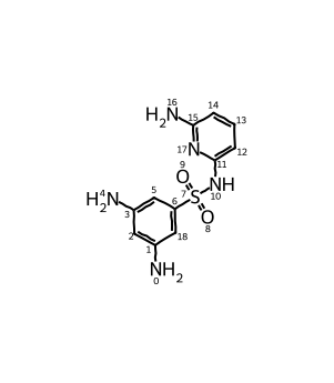 Nc1cc(N)cc(S(=O)(=O)Nc2cccc(N)n2)c1